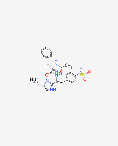 CCc1c[nH]c([C@H](Cc2ccc(N[SH](=O)=O)cc2)NC(=O)[C@H](Cc2ccccc2)NC(C)=O)n1